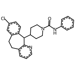 O=C(Nc1ccccc1)N1CCC(C2c3ccc(Cl)cc3CCc3cccnc32)CC1